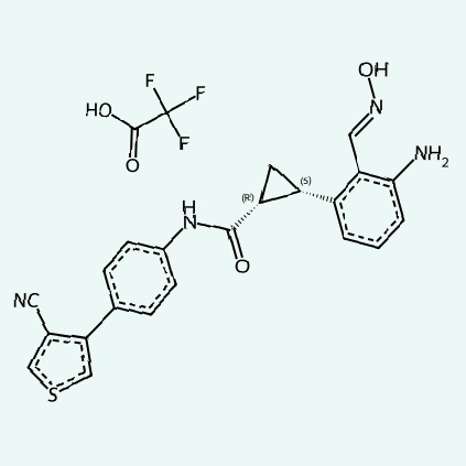 N#Cc1cscc1-c1ccc(NC(=O)[C@@H]2C[C@@H]2c2cccc(N)c2C=NO)cc1.O=C(O)C(F)(F)F